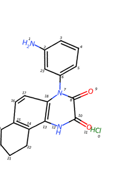 Cl.Nc1cccc(-n2c(=O)c(=O)[nH]c3c4c(ccc32)CCCC4)c1